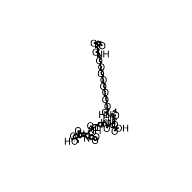 C=C1OCc2c(cc3n(c2=O)Cc2c-3nc3cc4c(cc3c2CNC(=O)OCc2ccc(NC(=O)[C@H](CCC(=O)O)NC(=O)[C@H](C)NC(=O)[C@@H](CC(C)C)NC(=O)CCOCCOCCOCCOCCOCCOCCOCCOCCNC(=O)CCN3C(=O)C=CC3=O)cc2)OCO4)[C@@]1(O)CC